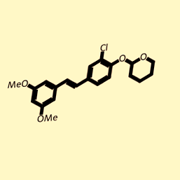 COc1cc(/C=C/c2ccc(OC3CCCCO3)c(Cl)c2)cc(OC)c1